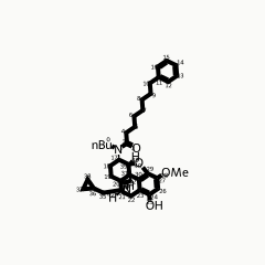 CCCCN(C(=O)CCCCCCCc1ccccc1)[C@H]1CC[C@H]2[C@H]3Cc4c(O)cc(OC)c5c4[C@@]2(CCN3CC2CC2)[C@H]1O5